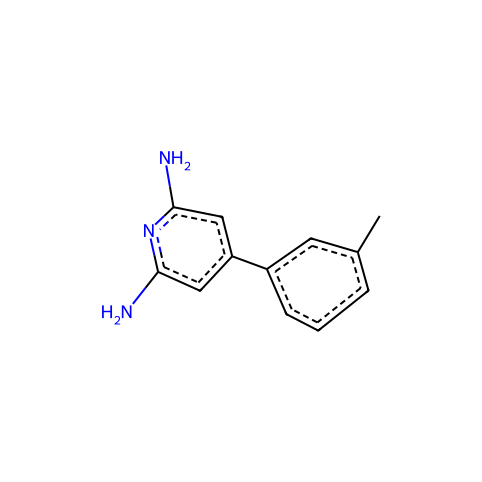 Cc1cccc(-c2cc(N)nc(N)c2)c1